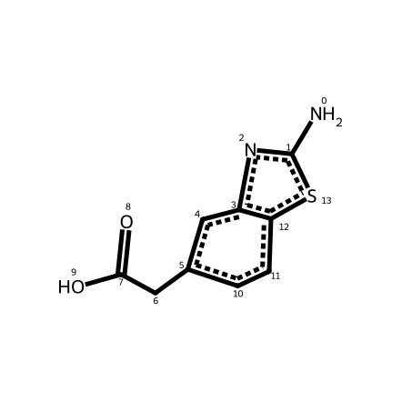 Nc1nc2cc(CC(=O)O)ccc2s1